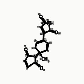 CC1(N2C(=O)C=CC2=O)C=CC(C2=CC(=O)NC2=O)=CC1